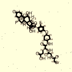 C[C@]12C=CC(=O)C=C1[C@@H](F)C[C@H]1C3C[C@H]4O[C@@H](c5ccc(OC6CCC(NC(=O)[C@H](CCC(=O)O)NC(=O)CNC(=O)CBr)CC6)cc5F)O[C@@]4(C(=O)CO)[C@@]3(C)C[C@H](O)[C@@]12F